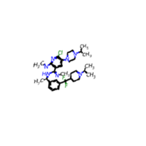 C=Nc1nc(Cl)c(N2CCN(C(C)C)CC2)cc1/C(=N\C)N[C@H](C)c1cccc(C(F)(F)C2CCN(C(C)C)CC2)c1